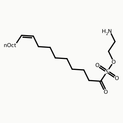 CCCCCCCC/C=C\CCCCCCCC(=O)S(=O)(=O)OCCN